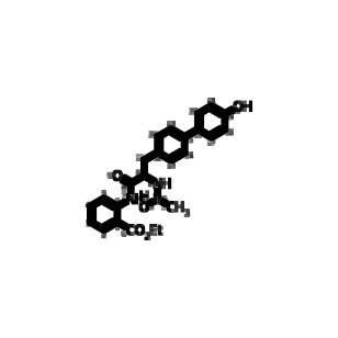 CCOC(=O)c1ccccc1NC(=O)C(Cc1ccc(-c2ccc(O)cc2)cc1)NB(C)O